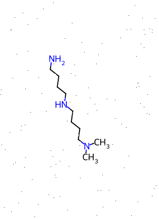 CN(C)CCCCNCCCCN